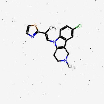 CC(=Cn1c2c(c3cc(Cl)ccc31)CN(C)CC2)c1nccs1